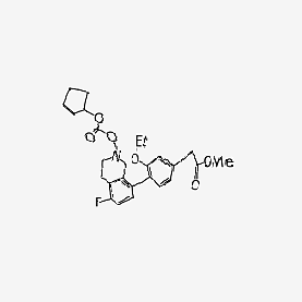 CCOc1cc(CC(=O)OC)ccc1-c1ccc(F)c2c1CN(OC(=O)OC1CCCC1)CC2